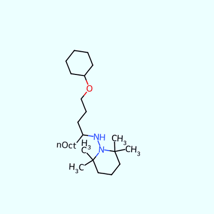 CCCCCCCCC(CCCOC1CCCCC1)NN1C(C)(C)CCCC1(C)C